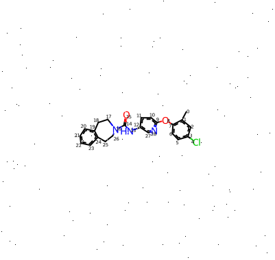 Cc1cc(Cl)ccc1Oc1ccc(NC(=O)N2CCc3ccccc3CC2)cn1